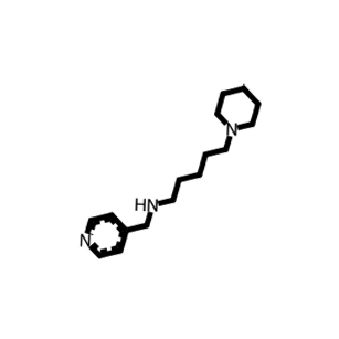 [CH]1CCN(CCCCCNCc2ccncc2)CC1